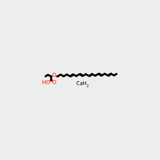 CCC=CCC=CCC=CCC=CCC=CCCCCOC(CC)C(=O)O.[CaH2]